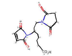 O=C(O)CCC(CN1C(=O)CCC1=O)N1C(=O)C=CC1=O